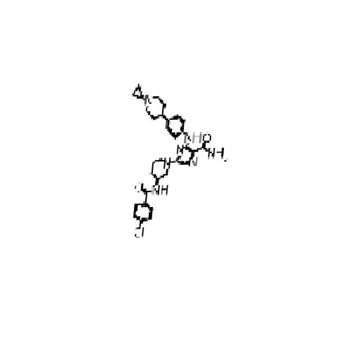 NC(=O)c1ncc(N2CCCC(NC(=O)c3ccc(Cl)cc3)C2)nc1Nc1ccc(C2CCN(C3CC3)CC2)cc1